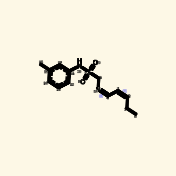 CC/C=C\C=N/CS(=O)(=O)Nc1cccc(C)c1